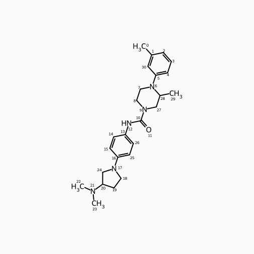 Cc1cccc(N2CCN(C(=O)Nc3ccc(N4CCC(N(C)C)C4)cc3)CC2C)c1